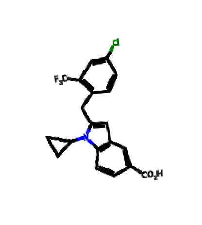 O=C(O)c1ccc2c(c1)cc(Cc1ccc(Cl)cc1C(F)(F)F)n2C1CC1